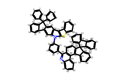 c1ccc(C2(c3ccccc3)c3ccccc3-c3cc4c(cc32)c2c3ccccc3sc2n4-c2cccc(-c3nc4ccccc4c4c5c(ccc34)C3(c4ccccc4-c4ccccc43)c3ccccc3-5)c2)cc1